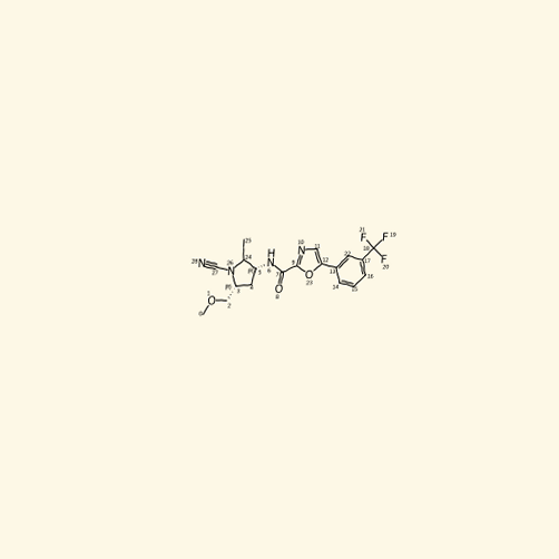 COC[C@H]1C[C@@H](NC(=O)c2ncc(-c3cccc(C(F)(F)F)c3)o2)C(I)N1C#N